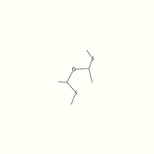 CSC(C)OC(C)SC